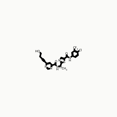 C[C@H](NC(=O)c1cc(C#CCCO)ncn1)c1ncc(C(=O)Nc2ccc(Cl)c(C(F)(F)F)c2)s1